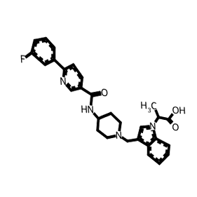 CC(C(=O)O)n1cc(CN2CCC(NC(=O)c3ccc(-c4cccc(F)c4)nc3)CC2)c2ccccc21